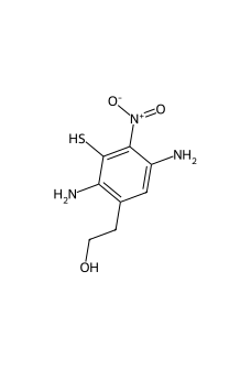 Nc1cc(CCO)c(N)c(S)c1[N+](=O)[O-]